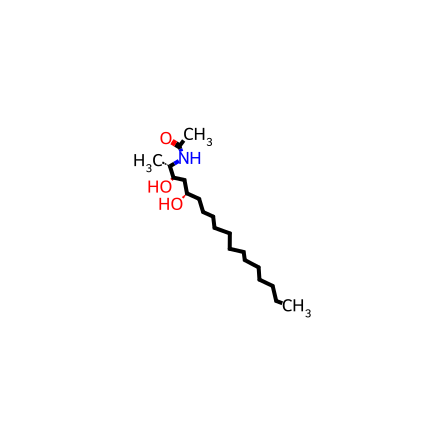 CCCCCCCCCCCCC[C@H](O)C[C@@H](O)[C@H](C)NC(C)=O